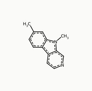 Cc1ccc2c3ccncc3n(C)c2c1